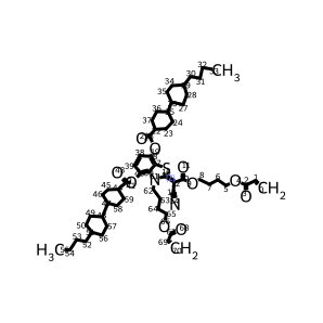 C=CC(=O)OCCCCOC(=O)/C(C#N)=C1\Sc2c(OC(=O)C3CCC(C4CCC(CCCC)CC4)CC3)ccc(OC(=O)C3CCC(C4CCC(CCCC)CC4)CC3)c2N1CCCCOC(=O)C=C